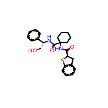 O=C(NC1(C(=O)N[C@H](CO)c2ccccc2)CCCCC1)C1Cc2ccccc2S1